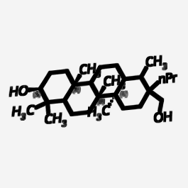 CCCC1(CO)CC[C@]2(C)C(CCC3[C@@]4(C)CC[C@H](O)C(C)(C)C4CC[C@]32C)C1C